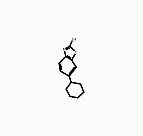 Sc1nc2ccc(C3CCCCC3)cc2o1